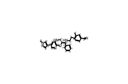 Cc1cc(C#N)ccc1CCN[C@H](c1ccccc1)[C@@H]1CNc2cc(-c3cnn(C)c3)cnc2O1